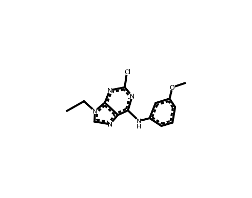 CCn1cnc2c(Nc3cccc(OC)c3)nc(Cl)nc21